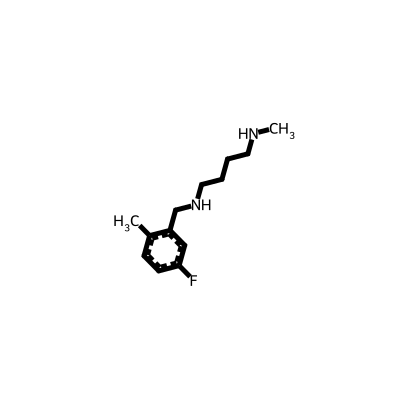 CNCCCCNCc1cc(F)ccc1C